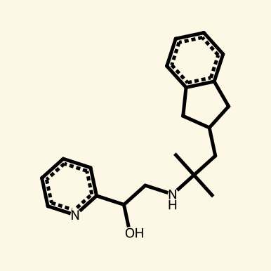 CC(C)(CC1Cc2ccccc2C1)NCC(O)c1ccccn1